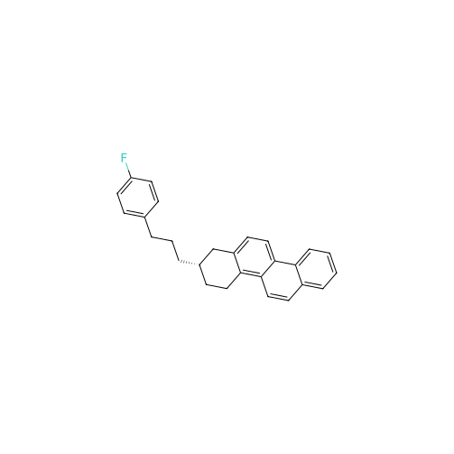 Fc1ccc(CCC[C@H]2CCc3c(ccc4c3ccc3ccccc34)C2)cc1